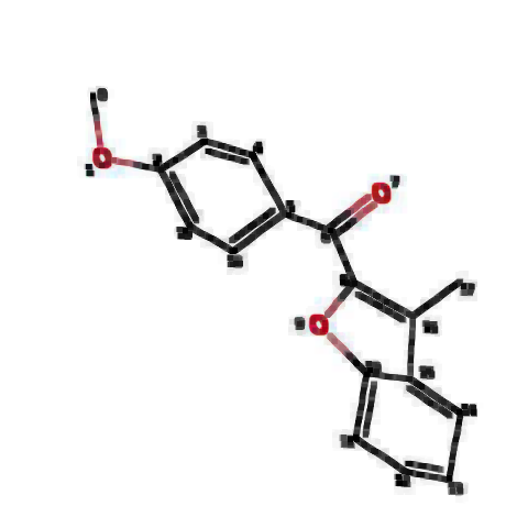 COc1ccc(C(=O)c2oc3ccccc3c2C)cc1